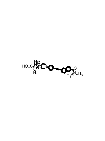 C[C@@H](NS(=O)(=O)N1CCN(c2ccc(C#Cc3ccc4cc(C(=O)N(C)C)ccc4c3)cc2)CC1)C(=O)O